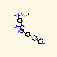 CCOC(=O)Nc1ccc(-c2cnc3c(-c4ccc(N5CCN(C6CCN(C)CC6)CC5)cc4)cnn3c2N)cc1